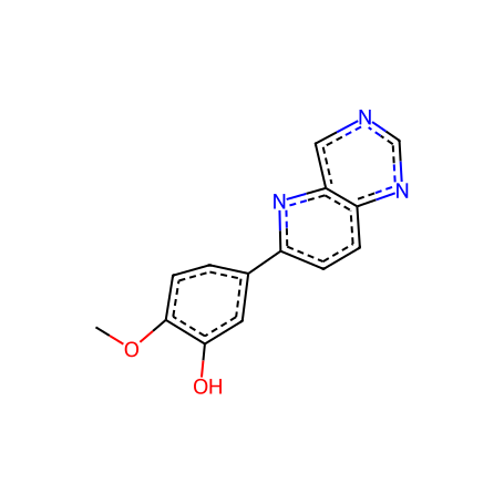 COc1ccc(-c2ccc3ncncc3n2)cc1O